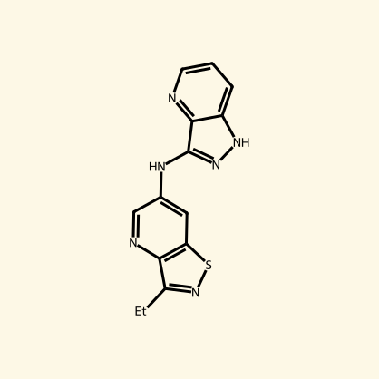 CCc1nsc2cc(Nc3n[nH]c4cccnc34)cnc12